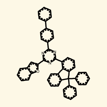 c1ccc(-c2ccc(-c3nc(-c4cc5ccccc5o4)nc(-c4cccc5c4-c4ccccc4C5(c4ccccc4)c4ccccc4)n3)cc2)cc1